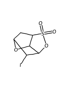 O=S1(=O)OC2C(I)C3CC1C2O3